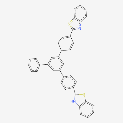 C1=CC(c2cc(-c3ccccc3)cc(-c3ccc(C4Nc5ccccc5S4)cc3)c2)CC=C1c1nc2ccccc2s1